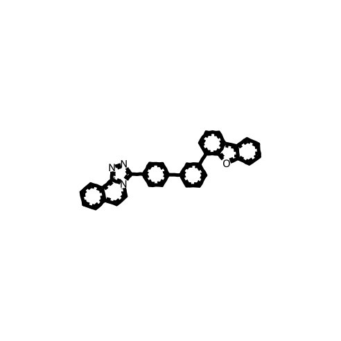 c1cc(-c2ccc(-c3nnc4c5ccccc5ccn34)cc2)cc(-c2cccc3c2oc2ccccc23)c1